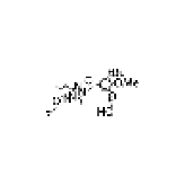 C=C1N(CC(=O)c2cc(OCCO)c(OC)c(C(C)(C)C)c2)N=C2C(C)=C(C)C(OCC3CC3)=NN12